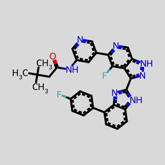 CC(C)(C)CC(=O)Nc1cncc(-c2ncc3[nH]nc(-c4nc5c(-c6ccc(F)cc6)cccc5[nH]4)c3c2F)c1